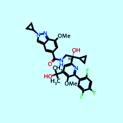 COc1c(C(C)(C)O)cc([C@@](O)(CNC(=O)c2cc(OC)c3nn(C4CC4)cc3c2)C2CC2)nc1-c1cc(F)c(F)cc1F